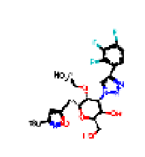 CC(C)(C)c1cc(C[C@H]2O[C@H](CO)[C@H](O)[C@H](n3cc(-c4ccc(F)c(F)c4F)nn3)[C@H]2OCC(=O)O)on1